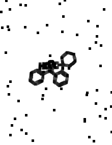 O=C(c1ccccc1)c1ccccc1C1(C(=O)O)CCCCC1